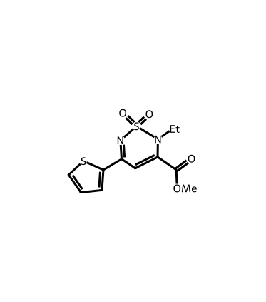 CCN1C(C(=O)OC)=CC(c2cccs2)=NS1(=O)=O